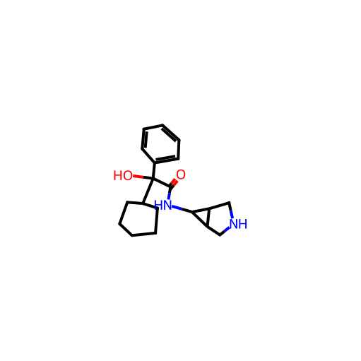 O=C(NC1C2CNCC21)C(O)(c1ccccc1)C1CCCCC1